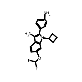 Nc1ccc(-c2c(N)c3ccc(OC(F)F)cc3n2C2CCC2)cc1